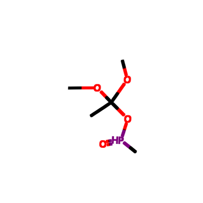 COC(C)(OC)O[PH](C)=O